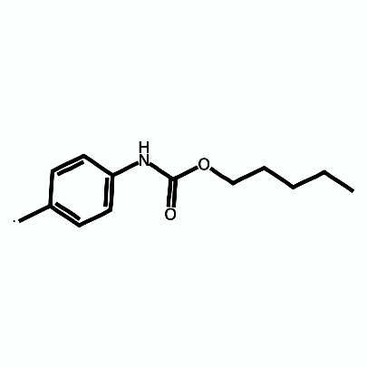 [CH2]c1ccc(NC(=O)OCCCCC)cc1